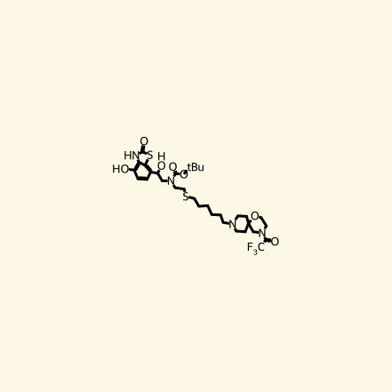 CC(C)(C)OC(=O)N(CCSCCCCCCN1CCC2(CC1)CN(C(=O)C(F)(F)F)CCO2)CC(O)c1ccc(O)c2[nH]c(=O)sc12